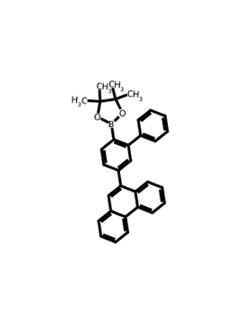 CC1(C)OB(c2ccc(-c3cc4ccccc4c4ccccc34)cc2-c2ccccc2)OC1(C)C